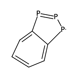 c1ccc2c(c1)[P]P=P2